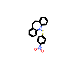 O=[N+]([O-])c1ccc(SN2c3ccccc3CCc3ccccc32)cc1